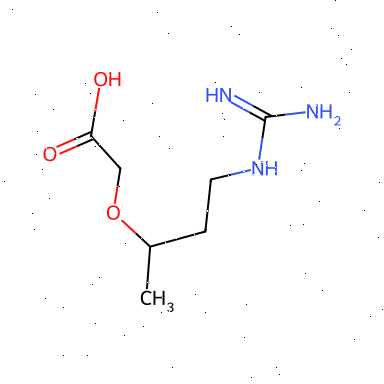 CC(CCNC(=N)N)OCC(=O)O